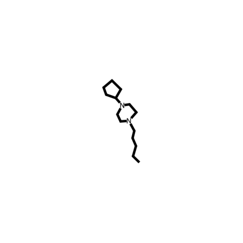 CCCCCN1CCN(C2CCCC2)CC1